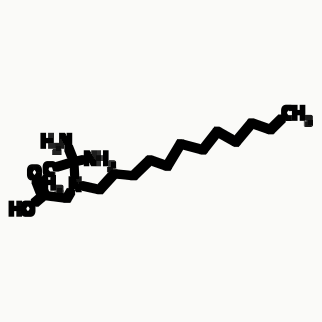 CCCCCCCCCCCCN(CC(=O)O)C(C)(N)N